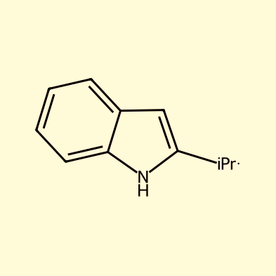 C[C](C)c1cc2ccccc2[nH]1